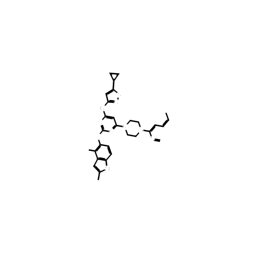 C=N/C(=C\C=C/C)N1CCN(c2cc(Nc3cc(C4CC4)[nH]n3)nc(Oc3ccc4[nH]c(C)cc4c3F)n2)CC1